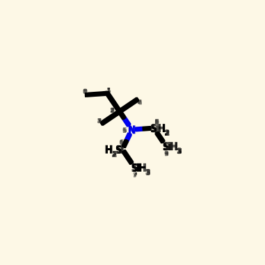 CCC(C)(C)N([SiH2][SiH3])[SiH2][SiH3]